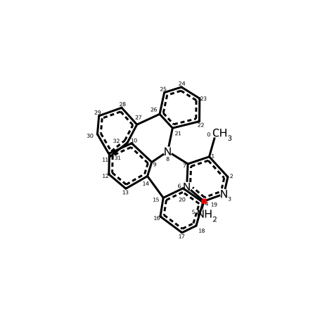 Cc1cnc(N)nc1N(c1ccccc1-c1ccccc1)c1ccccc1-c1ccccc1